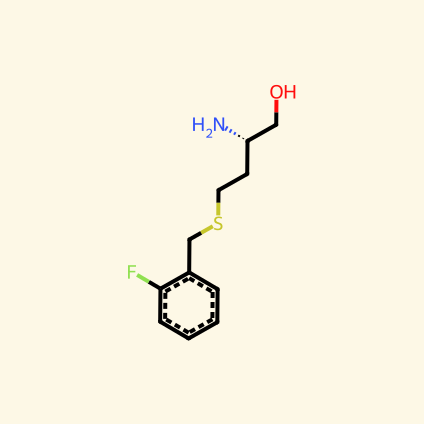 N[C@H](CO)CCSCc1ccccc1F